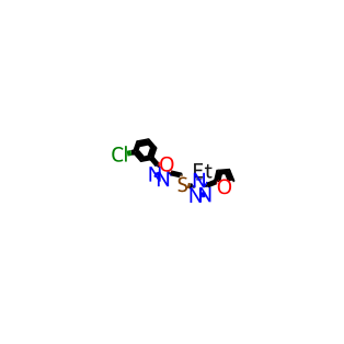 CCn1c(SCc2nnc(-c3cccc(Cl)c3)o2)nnc1-c1ccco1